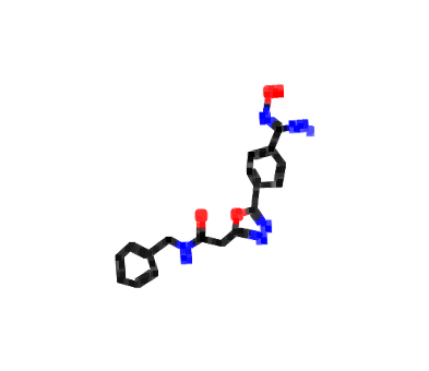 N/C(=N\O)c1ccc(-c2nnc(CC(=O)NCc3ccccc3)o2)cc1